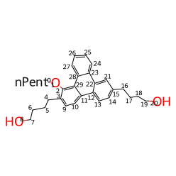 CCCCCOc1c(CCCCO)ccc2c3ccc(CCCCO)cc3c3ccccc3c12